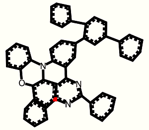 c1ccc(-c2ccc(-c3ccccc3)c(-c3ccc(N4c5ccccc5Oc5ccccc54)c(-c4nc(-c5ccccc5)nc(-c5ccccc5)n4)c3)c2)cc1